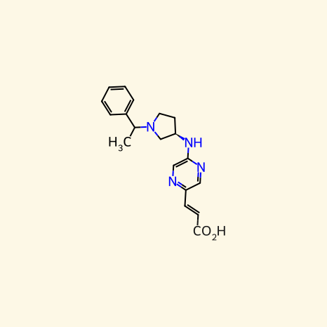 CC(c1ccccc1)N1CC[C@@H](Nc2cnc(/C=C/C(=O)O)cn2)C1